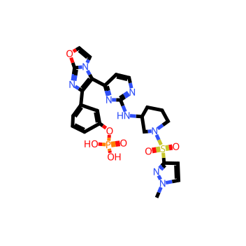 Cn1ccc(S(=O)(=O)N2CCCC(Nc3nccc(-c4c(-c5cccc(OP(=O)(O)O)c5)nc5occn45)n3)C2)n1